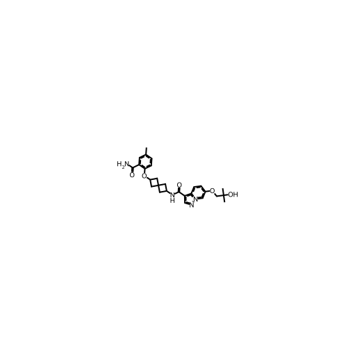 Cc1ccc(OC2CC3(CC(NC(=O)c4cnn5cc(OCC(C)(C)O)ccc45)C3)C2)c(C(N)=O)c1